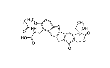 CC[C@@]1(O)C(=O)OCc2c1cc1n(c2=O)Cc2cc3c(C=C(NC(C)=O)C(=O)O)c(OC)ccc3nc2-1